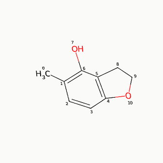 Cc1ccc2c(c1O)CCO2